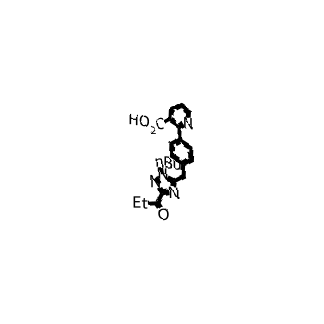 CCCCn1nc(C(=O)CC)nc1Cc1ccc(-c2ncccc2C(=O)O)cc1